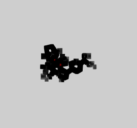 CS(=O)(=O)c1c([C@@H]2C[C@H]3CC[C@@H](C2)N3C(=O)c2nnc[nH]2)nc2c(-c3ccc(C(O)C(F)(F)F)nc3)cnn2c1N